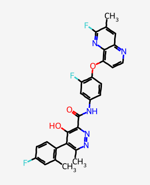 Cc1cc(F)ccc1-c1c(C)nnc(C(=O)Nc2ccc(Oc3ccnc4cc(C)c(F)nc34)c(F)c2)c1O